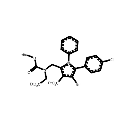 CCOC(=O)CN(Cc1c(C(=O)OCC)c(Br)c(-c2ccc(Cl)cc2)n1-c1ccccc1)C(=O)OC(C)(C)C